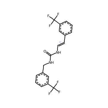 O=C(N/C=C/c1cccc(C(F)(F)F)c1)NCc1cccc(C(F)(F)F)c1